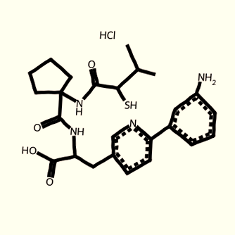 CC(C)C(S)C(=O)NC1(C(=O)NC(Cc2ccc(-c3cccc(N)c3)nc2)C(=O)O)CCCC1.Cl